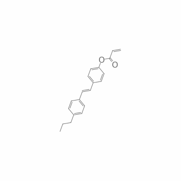 C=CC(=O)Oc1ccc(C=Cc2ccc(CCC)cc2)cc1